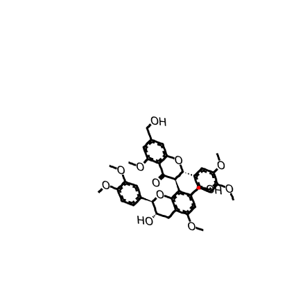 COc1ccc([C@H]2Oc3cc(CO)cc(OC)c3C(=O)[C@@H]2c2c(CO)cc(OC)c3c2O[C@H](c2ccc(OC)c(OC)c2)[C@@H](O)C3)cc1OC